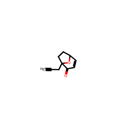 C#CCC12CCC(C=CC1=O)O2